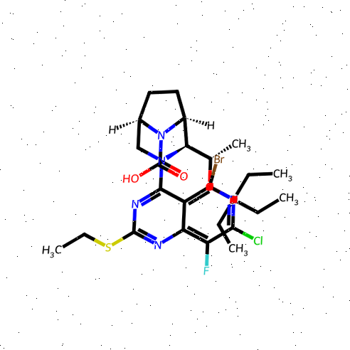 CCSc1nc(N2C[C@H]3CC[C@@H]([C@H]2[C@H](C)O[Si](CC)(CC)CC)N3C(=O)O)c2c(Br)nc(Cl)c(F)c2n1